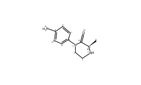 C[C@H]1NCCN(c2ccc(N)nc2)C1=O